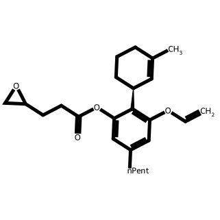 C=COc1cc(CCCCC)cc(OC(=O)CCC2CO2)c1[C@@H]1C=C(C)CCC1